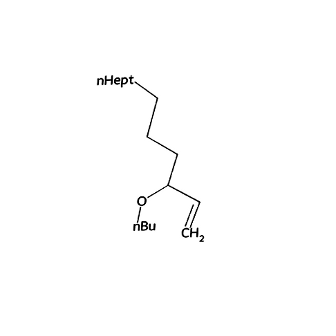 C=CC(CCCCCCCCCC)OCCCC